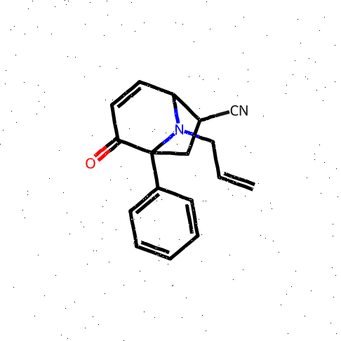 C=CCN1C2C=CC(=O)C1(c1ccccc1)CC2C#N